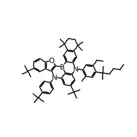 CCCCC(C)(C)c1cc(C)c(N2c3cc4c(cc3B3c5oc6ccc(C(C)(C)C)cc6c5N(c5ccc(C(C)(C)C)cc5)c5cc(C(C)(C)C)cc2c53)C(C)(C)CCC4(C)C)cc1CC